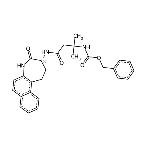 CC(C)(CC(=O)N[C@@H]1CCc2c(ccc3ccccc23)NC1=O)NC(=O)OCc1ccccc1